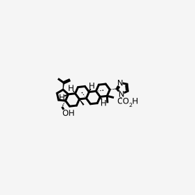 C=C(C)[C@@H]1CC[C@]2(CO)CC[C@]3(C)[C@H](CC[C@@H]4[C@@]5(C)CC[C@H](c6nccn6C(=O)O)C(C)(C)[C@@H]5CC[C@]43C)[C@@H]12